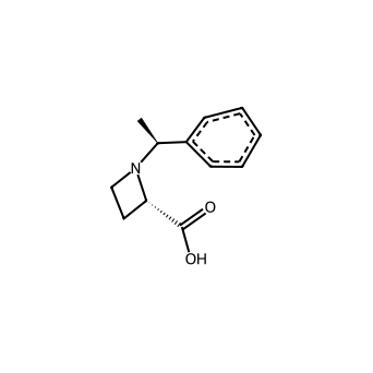 C[C@@H](c1ccccc1)N1CC[C@H]1C(=O)O